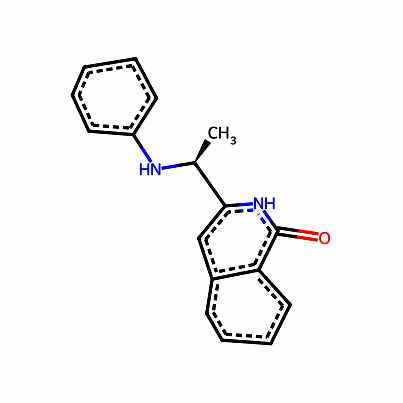 C[C@H](Nc1ccccc1)c1cc2ccccc2c(=O)[nH]1